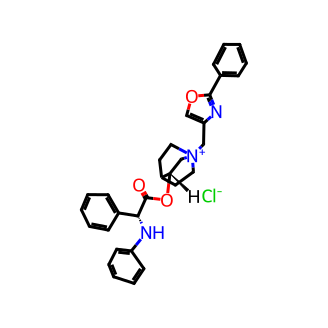 O=C(O[C@H]1C[N+]2(Cc3coc(-c4ccccc4)n3)CCC1CC2)[C@H](Nc1ccccc1)c1ccccc1.[Cl-]